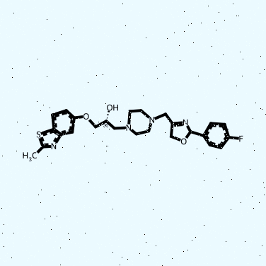 Cc1nc2cc(OC[C@H](O)CN3CCN(CC4=NC(c5ccc(F)cc5)OC4)CC3)ccc2s1